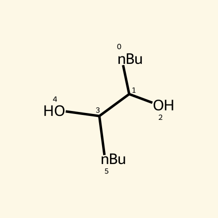 CCCCC(O)C(O)CCCC